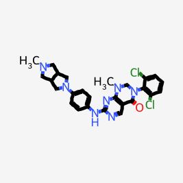 CN1CC2CN(c3ccc(Nc4ncc5c(n4)N(C)CN(c4c(Cl)cccc4Cl)C5=O)cc3)CC2C1